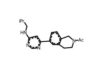 CC(=O)N1CCc2cc(-c3cc(NCC(C)C)ncn3)ccc2C1